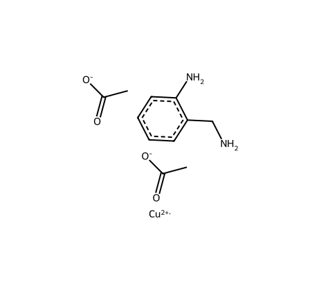 CC(=O)[O-].CC(=O)[O-].NCc1ccccc1N.[Cu+2]